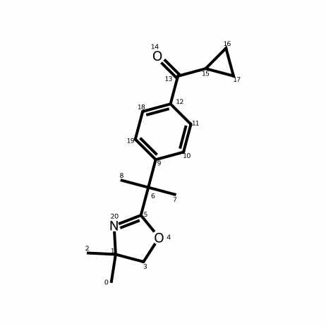 CC1(C)COC(C(C)(C)c2ccc(C(=O)C3CC3)cc2)=N1